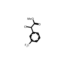 COC(=O)C(Cl)c1cccc(C(F)(F)F)c1